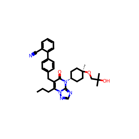 CCCc1c(Cc2ccc(-c3ccccc3C#N)cc2)c(=O)n([C@H]2CC[C@](C)(OCC(C)(C)O)CC2)c2ncnn12